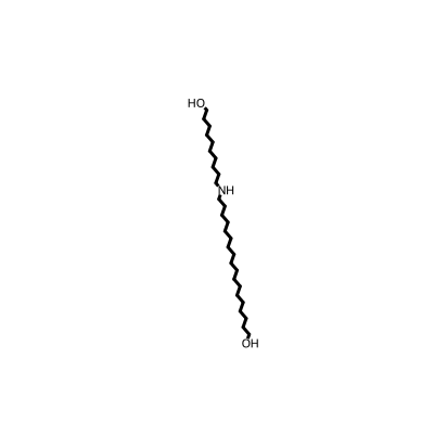 OCCCCCCCCCCCCCCCCCCNCCCCCCCCCCO